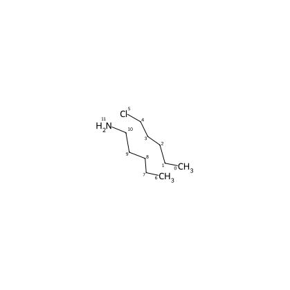 CCCCCCl.CCCCCN